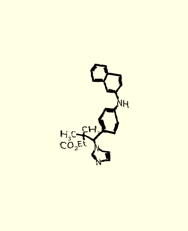 CCOC(=O)C(C)(C)C(c1ccc(Nc2ccc3ccccc3c2)cc1)n1ccnc1